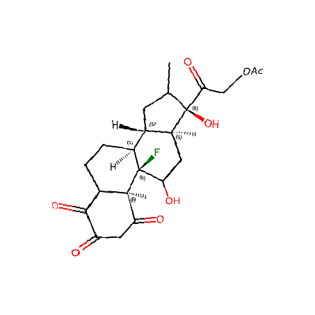 CC(=O)OCC(=O)[C@@]1(O)C(C)C[C@H]2[C@@H]3CCC4C(=O)C(=O)CC(=O)[C@]4(C)[C@@]3(F)C(O)C[C@@]21C